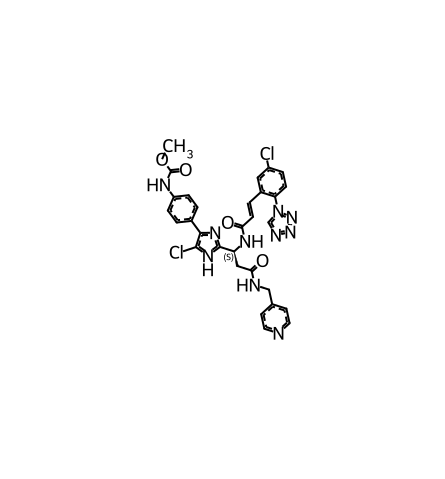 COC(=O)Nc1ccc(-c2nc([C@H](CC(=O)NCc3ccncc3)NC(=O)C=Cc3cc(Cl)ccc3-n3cnnn3)[nH]c2Cl)cc1